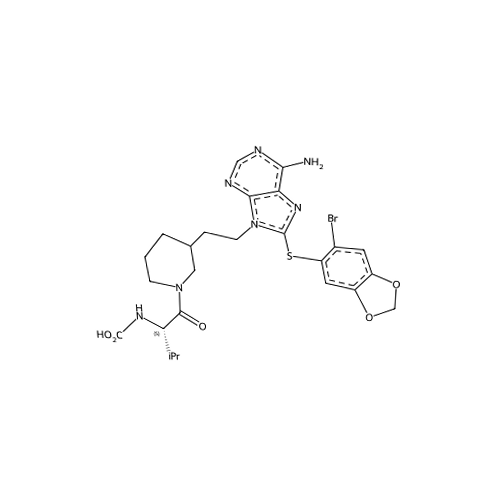 CC(C)[C@H](NC(=O)O)C(=O)N1CCCC(CCn2c(Sc3cc4c(cc3Br)OCO4)nc3c(N)ncnc32)C1